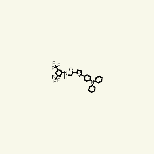 O=C(/C=C\Nc1cc(C(F)(F)F)cc(C(F)(F)F)c1)c1ccc(-c2ccc(N(c3ccccc3)c3ccccc3)cc2)s1